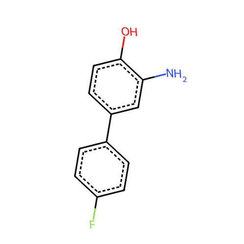 Nc1cc(-c2ccc(F)cc2)ccc1O